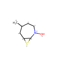 CC1CCN(O)C2SC2C1